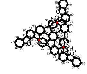 CC1(C)CCc2c(c3c(c4c2-c2c(-c5ccc(-c6cccc7c6oc6ccccc67)nc5)cccc2C(C)(C)CC4)-c2c(-c4ccc(-c5cccc6c5oc5ccccc56)nc4)cccc2C(C)(C)CC3)-c2c(-c3ccc(-c4cccc5c4oc4ccccc45)nc3)cccc21